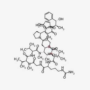 CC[C@H](C)[C@@H]([C@@H](CC(=O)N1CCC[C@H]1[C@H](OC)[C@@H](C)C(=O)N[C@H](C)[C@@H](O)c1ccccc1)OC)N(C)C(=O)[C@@H](NC(=O)[C@H](C(C)C)N(C)C(=O)CNC(=O)C(CCCNC(N)=O)NC(=O)[C@@H](NC(=O)CCCCCN1C(=O)C=CC1=O)C(C)C)C(C)C